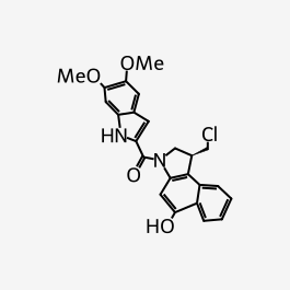 COc1cc2cc(C(=O)N3C[C@@H](CCl)c4c3cc(O)c3ccccc43)[nH]c2cc1OC